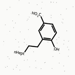 CCCCCCCCCc1cc(C(=O)O)ccc1O